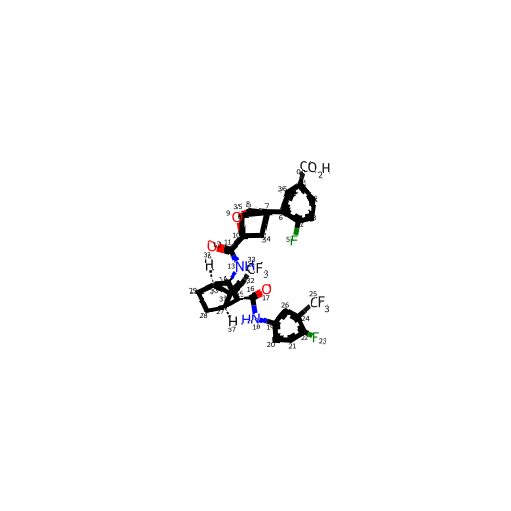 O=C(O)c1ccc(F)c(C23COC(C(=O)N[C@H]4[C@@H](C(=O)Nc5ccc(F)c(C(F)(F)F)c5)[C@H]5CC[C@@H]4/C5=C\C(F)(F)F)(C2)C3)c1